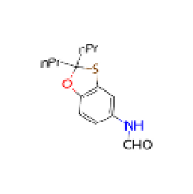 CCCC1(CCC)Oc2ccc(NC=O)cc2S1